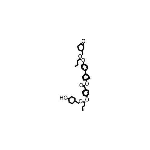 CCCC(OCC1CCC(O)CC1)Oc1ccc(C(=O)Oc2ccc(-c3ccc(OC(CCC)OCC4CCC5OC5C4)cc3)cc2)cc1